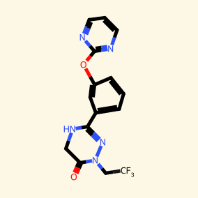 O=C1CNC(c2cccc(Oc3ncccn3)c2)=NN1CC(F)(F)F